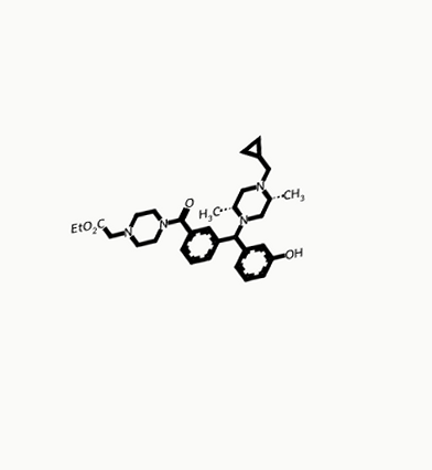 CCOC(=O)CN1CCN(C(=O)c2cccc(C(c3cccc(O)c3)N3C[C@@H](C)N(CC4CC4)C[C@H]3C)c2)CC1